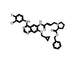 O=C(C=CCN1CCCC1C(=O)OCc1ccccc1)Nc1cc2c(Nc3ccc(F)c(Cl)c3)ncnc2cc1OCC1CC1